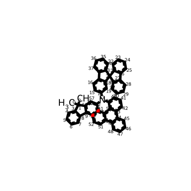 CC1(C)c2ccccc2-c2ccc(N(c3ccc4c(c3)C3(c5ccccc5-c5ccccc53)c3ccccc3-4)c3cccc4c5ccccc5c5ccccc5c34)cc21